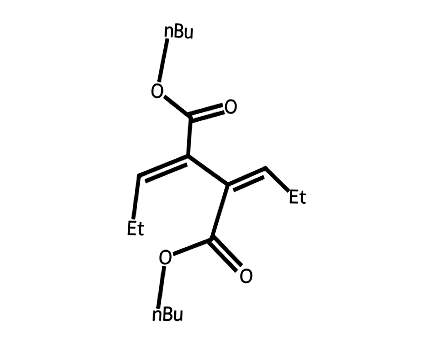 CCC=C(C(=O)OCCCC)C(=CCC)C(=O)OCCCC